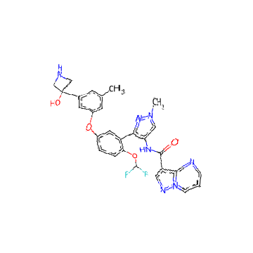 Cc1cc(Oc2ccc(OC(F)F)c(-c3nn(C)cc3NC(=O)c3cnn4cccnc34)c2)cc(C2(O)CNC2)c1